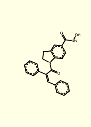 O=C(NO)c1ccc2c(c1)CCN2C(=O)/C(=C\c1ccccc1)c1ccccc1